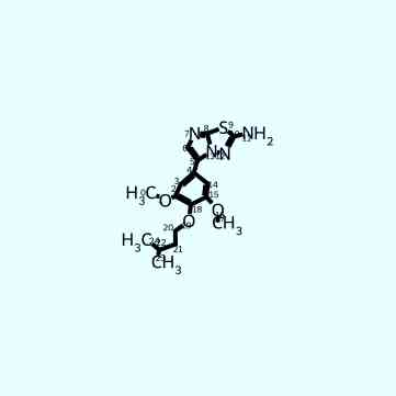 COc1cc(-c2cnc3sc(N)nn23)cc(OC)c1OCCC(C)C